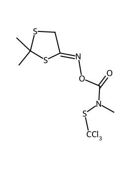 CN(SC(Cl)(Cl)Cl)C(=O)ON=C1CSC(C)(C)S1